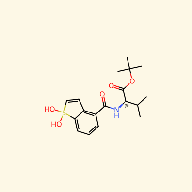 CC(C)[C@@H](NC(=O)c1cccc2c1C=CS2(O)O)C(=O)OC(C)(C)C